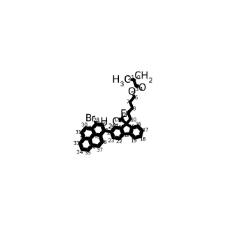 C=C(C)C(=O)OCCCCCC1(C(=C)CC)c2ccccc2-c2ccc(-c3cc(Br)c4ccc5cccc6ccc3c4c56)cc21